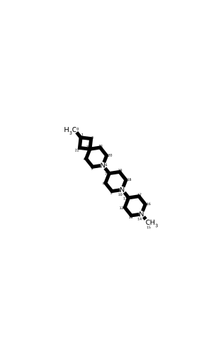 CC1CC2(CCN(C3CCN(C4CCN(C)CC4)CC3)CC2)C1